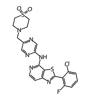 O=S1(=O)CCN(Cc2cnc(Nc3nccc4nc(-c5c(F)cccc5Cl)sc34)cn2)CC1